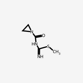 CSC(=N)NC(=O)N1CC1